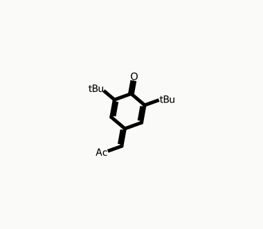 CC(=O)C=C1C=C(C(C)(C)C)C(=O)C(C(C)(C)C)=C1